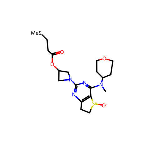 CSCCC(=O)OC1CN(c2nc3c(c(N(C)C4CCOCC4)n2)[S+]([O-])CC3)C1